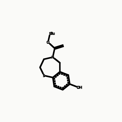 C=C(OC(C)(C)C)N1CCSc2ccc(O)cc2C1